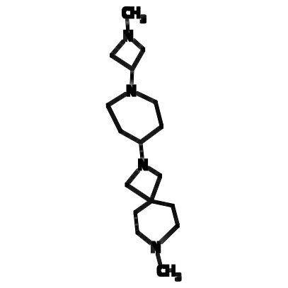 CN1CCC2(CC1)CN(C1CCN(C3CN(C)C3)CC1)C2